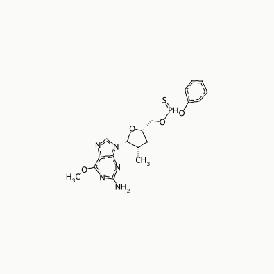 COc1nc(N)nc2c1ncn2[C@@H]1O[C@H](CO[PH](=S)Oc2ccccc2)C[C@@H]1C